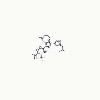 CNC(=O)C(NC(=O)c1nc(-c2cnn(CC(C)C)c2)n2c1CN(C)CCC2)C(C)(C)C